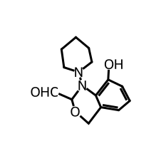 O=CC1OCc2cccc(O)c2N1N1CCCCC1